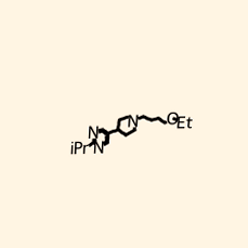 CCOCCCCN1CCC(c2cnc(C(C)C)nc2)CC1